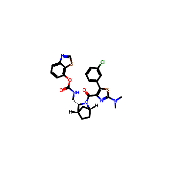 CN(C)c1nc(C(=O)N2[C@@H]3CC[C@@H](C3)[C@@H]2CNC(=O)Oc2cccc3ncsc23)c(-c2cccc(Cl)c2)s1